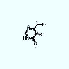 O=c1[nH]cnc(CF)c1Cl